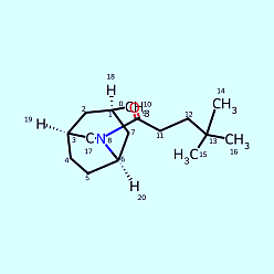 C[C@@H]1C[C@@H]2CC[C@H](C1)N(C(=O)CCC(C)(C)C)C2